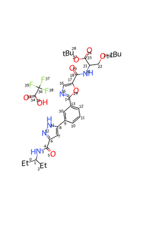 CCC(CC)NC(=O)c1cc(-c2cccc(-c3ncc(C(=O)NC(COC(C)(C)C)C(=O)OC(C)(C)C)o3)c2)[nH]n1.O=C(O)C(F)(F)F